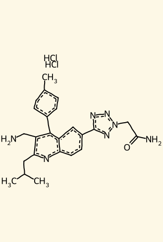 Cc1ccc(-c2c(CN)c(CC(C)C)nc3ccc(-c4nnn(CC(N)=O)n4)cc23)cc1.Cl.Cl